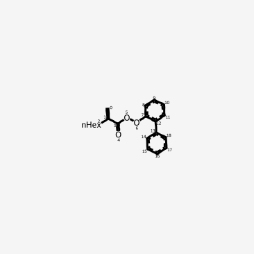 C=C(CCCCCC)C(=O)OOc1ccccc1-c1ccccc1